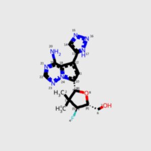 CC1(C)[C@H](F)[C@@H](CO)O[C@H]1c1cc(-c2cnn[nH]2)c2c(N)ncnn12